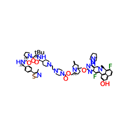 C#Cc1c(F)ccc2cc(O)cc(-c3ncc4c(N5CC6CCC(C5)N6)nc(OCC56CC[C@@H](COC(=O)N7CCN(CCN8CCC(C(=O)N[C@H](C(=O)N9CCC[C@H]9C(=O)N[C@@H](C)c9ccc(-c%10scnc%10C)cc9)C(C)(C)C)CC8)CC7)N5CC(=C)C6)nc4c3F)c12